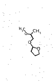 CO[C@@H](C)COC1CCCO1